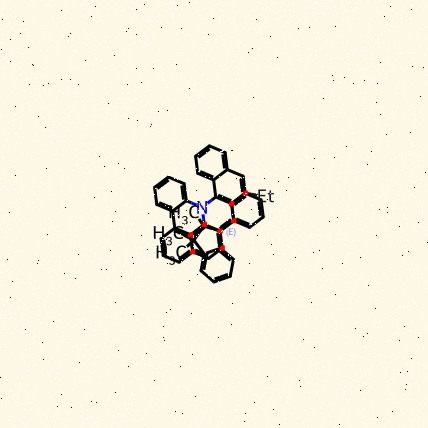 CCc1cc2ccccc2c(N(c2ccccc2-c2ccccc2)c2ccccc2-c2ccccc2)c1/C=C1/c2ccccc2C(C)(C)C1C